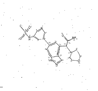 CS(=O)(=O)Nc1cncc(-c2cc(C(C(N)=O)N3CCOCC3)c3cn[nH]c3c2)c1